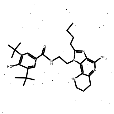 CCCCc1nc2c(N)nc3c(c2n1CCNC(=O)c1cc(C(C)(C)C)c(O)c(C(C)(C)C)c1)NCCC3